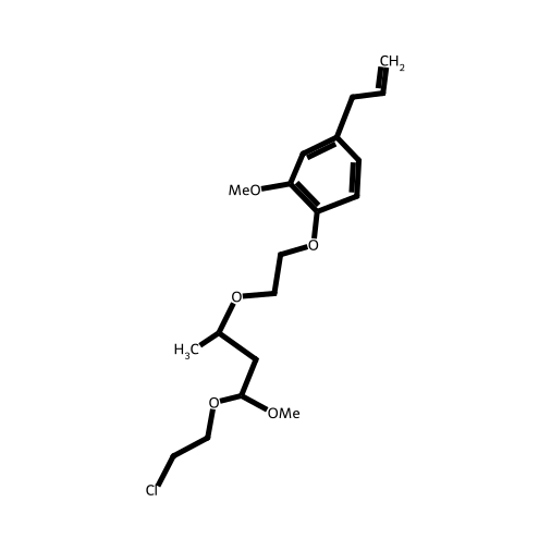 C=CCc1ccc(OCCOC(C)CC(OC)OCCCl)c(OC)c1